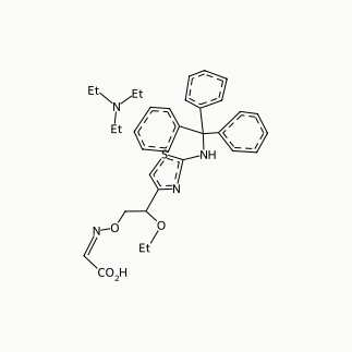 CCN(CC)CC.CCOC(CO/N=C\C(=O)O)c1csc(NC(c2ccccc2)(c2ccccc2)c2ccccc2)n1